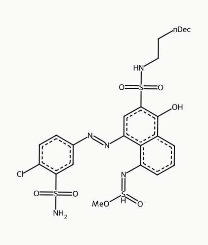 CCCCCCCCCCCCNS(=O)(=O)c1cc(/N=N/c2ccc(Cl)c(S(N)(=O)=O)c2)c2c(N=[SH](=O)OC)cccc2c1O